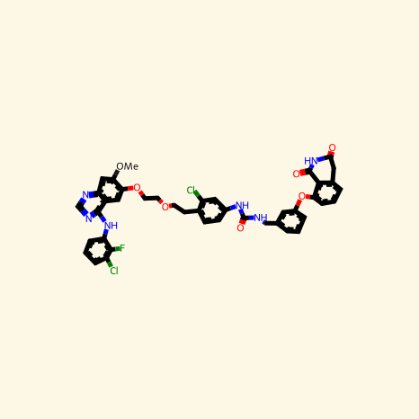 COc1cc2ncnc(Nc3cccc(Cl)c3F)c2cc1OCCOCCc1ccc(NC(=O)NCc2cccc(Oc3cccc4c3C(=O)NC(=O)C4)c2)cc1Cl